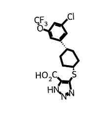 O=C(O)c1[nH]nnc1S[C@H]1CC[C@@H](c2cc(Cl)cc(OC(F)(F)F)c2)CC1